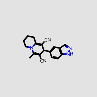 CC1=C(C#N)C(c2ccc3[nH]ncc3c2)C(C#N)=C2CCCCN12